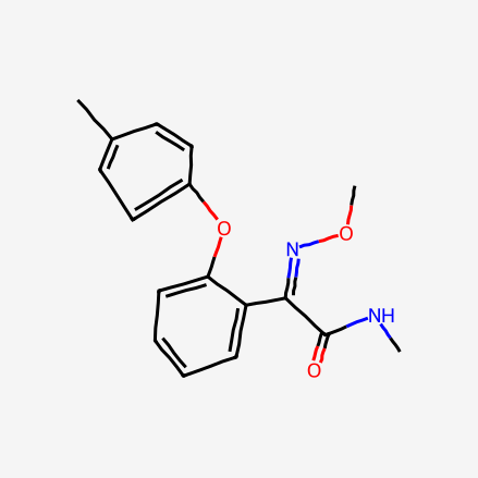 CNC(=O)C(=NOC)c1ccccc1Oc1ccc(C)cc1